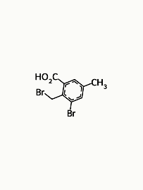 Cc1cc(Br)c(CBr)c(C(=O)O)c1